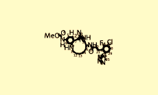 COC(=O)Nc1ccc2c(c1)NCCCCC[C@H](NC(=O)/C=C/c1c(-n3cnnn3)ccc(Cl)c1F)c1nc-2c(N)[nH]1